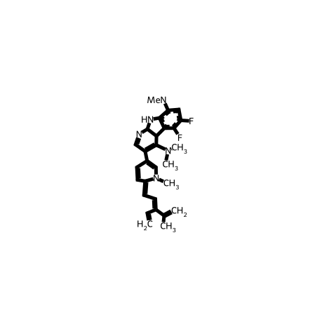 C=C/C(=C\C=C1\C=CC(C2=C(N(C)C)C3c4c(F)c(F)cc(NC)c4NC3N=C2)=CN1C)C(=C)C